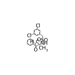 CC(C)(NS(=O)(=O)Cc1cc(Cl)cc(Cl)c1)C(=O)c1ccccc1